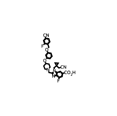 N#CCC1(Cn2c(CN3CCC(Oc4cccc(OCc5ccc(C#N)cc5F)c4)CC3)nc3c(F)cc(C(=O)O)cc32)CC1